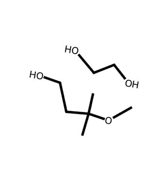 COC(C)(C)CCO.OCCO